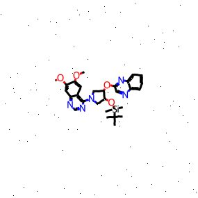 COc1cc2ncnc(N3CC(Oc4cnc5ccccc5n4)C(O[Si](C)(C)C(C)(C)C)C3)c2cc1OC